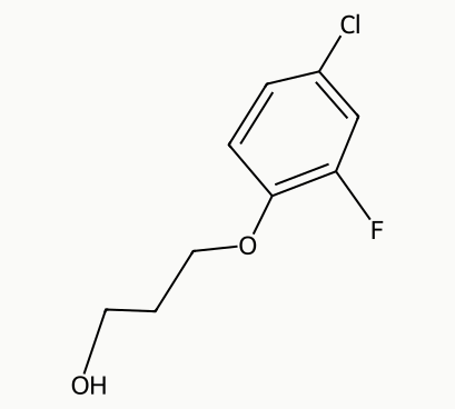 OCCCOc1ccc(Cl)cc1F